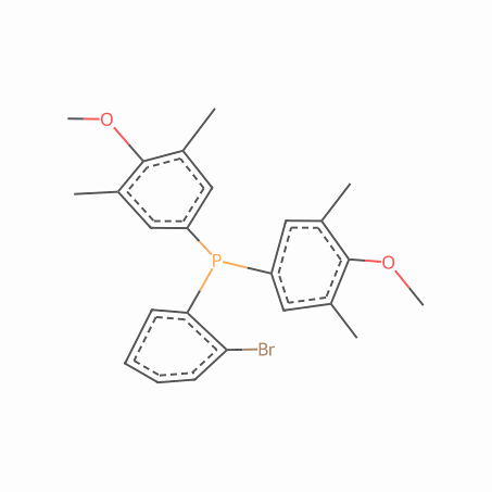 COc1c(C)cc(P(c2cc(C)c(OC)c(C)c2)c2ccccc2Br)cc1C